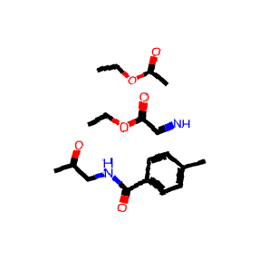 CC(=O)CNC(=O)c1ccc(C)cc1.CCOC(=O)C=N.CCOC(C)=O